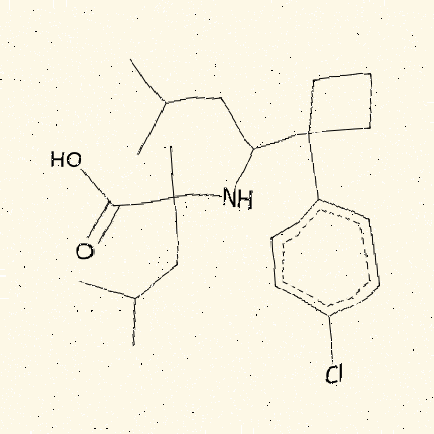 CC(C)CC(NC(C)(CC(C)C)C(=O)O)C1(c2ccc(Cl)cc2)CCC1